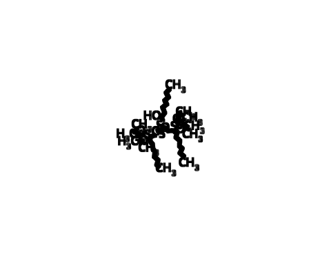 CCCCCCCCC(O)CSP(=S)(OCC(CCCCCCCC)SP(=S)(OC(C)C)OC(C)C)OCC(CCCCCCCC)SP(=S)(OC(C)C)OC(C)C